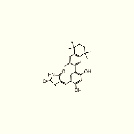 Cc1cc2c(cc1-c1cc(C=C3SC(=O)NC3=O)c(O)cc1O)C(C)(C)CCC2(C)C